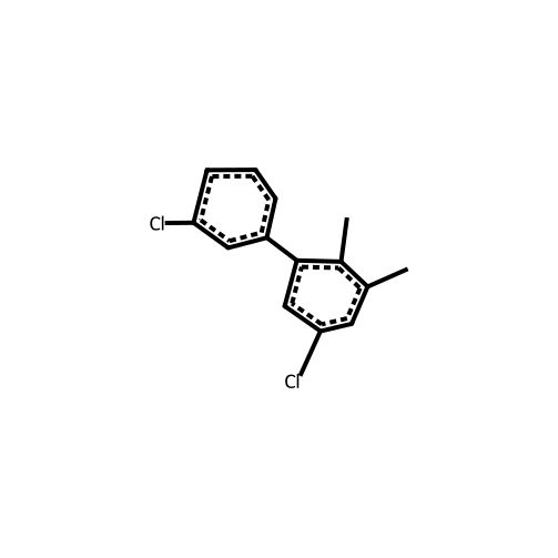 Cc1cc(Cl)cc(-c2cccc(Cl)c2)c1C